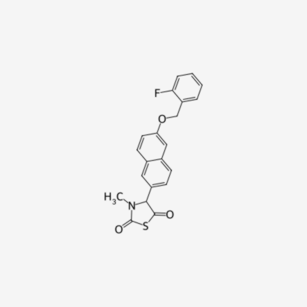 CN1C(=O)SC(=O)C1c1ccc2cc(OCc3ccccc3F)ccc2c1